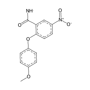 COc1ccc(Oc2ccc([N+](=O)[O-])cc2C([NH])=O)cc1